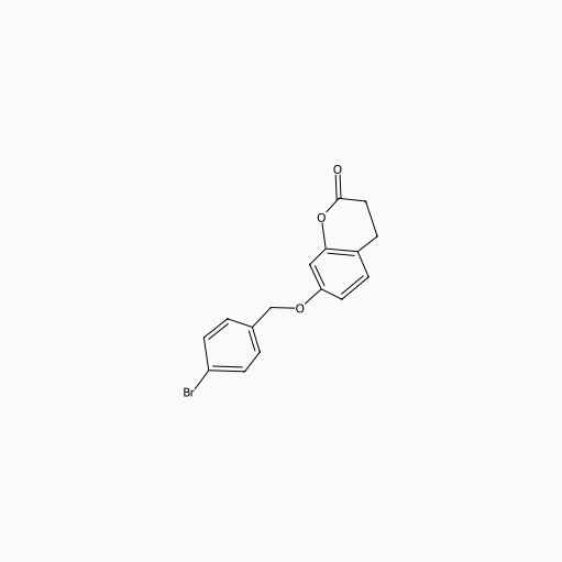 O=C1CCc2ccc(OCc3ccc(Br)cc3)cc2O1